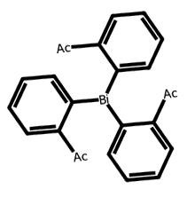 CC(=O)c1cccc[c]1[Bi]([c]1ccccc1C(C)=O)[c]1ccccc1C(C)=O